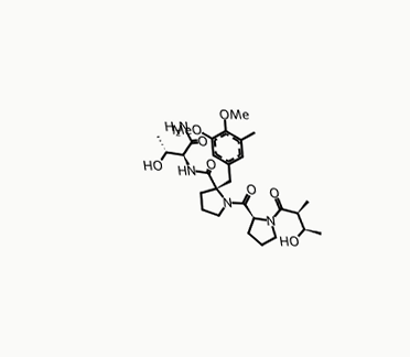 COc1cc(C[C@]2(C(=O)N[C@H](C(N)=O)[C@@H](C)O)CCCN2C(=O)[C@@H]2CCCN2C(=O)[C@@H](C)[C@@H](C)O)cc(C)c1OC